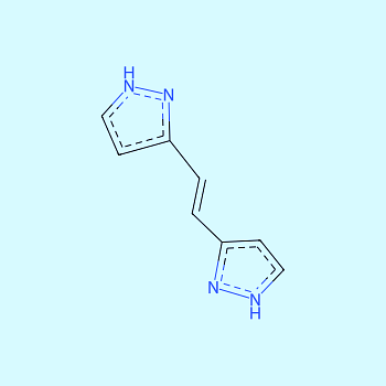 C(=Cc1cc[nH]n1)c1cc[nH]n1